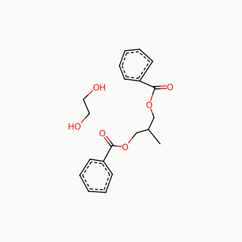 CC(COC(=O)c1ccccc1)COC(=O)c1ccccc1.OCCO